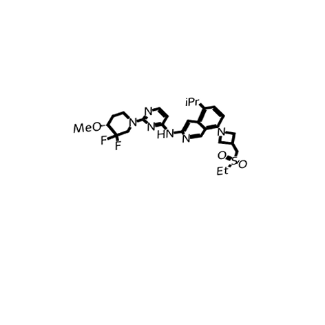 CCS(=O)(=O)CC1CN(c2ccc(C(C)C)c3cc(Nc4ccnc(N5CC[C@@H](OC)C(F)(F)C5)n4)ncc23)C1